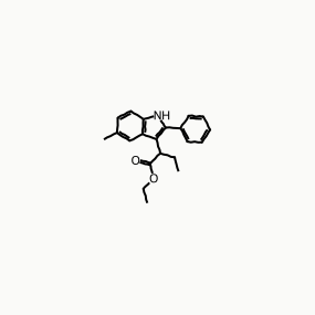 CCOC(=O)C(CC)c1c(-c2ccccc2)[nH]c2ccc(C)cc12